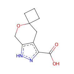 O=C(O)c1n[nH]c2c1CC1(CCC1)OC2